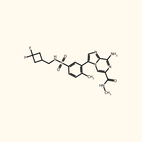 CNC(=O)c1cn2c(-c3cc(S(=O)(=O)NCC4CC(F)(F)C4)ccc3C)cnc2c(N)n1